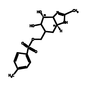 CC1=NC2[C@@H](O)C(O)C(COS(=O)(=O)c3ccc(C)cc3)C[C@@H]2N1